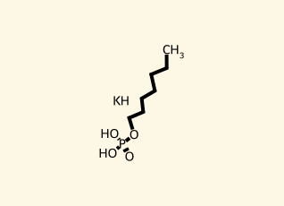 CCCCCCCOP(=O)(O)O.[KH]